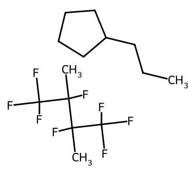 CC(F)(C(F)(F)F)C(C)(F)C(F)(F)F.CCCC1CCCC1